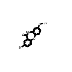 CCCOc1ccc2c(c1)NC(=O)c1cc(Br)ccc1O2